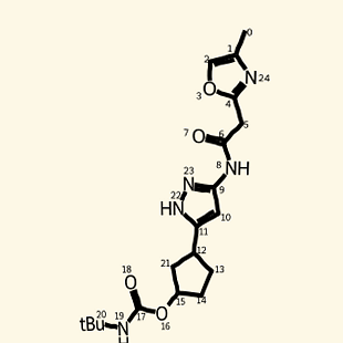 Cc1coc(CC(=O)Nc2cc(C3CCC(OC(=O)NC(C)(C)C)C3)[nH]n2)n1